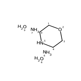 C1COCCN1.N.N.O.O